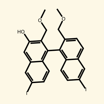 COCc1ccc2cc(I)ccc2c1-c1c(COC)c(O)cc2cc(I)ccc12